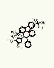 CC1=C(C)C[C]([Zr](=[C](c2ccccc2)c2ccccc2)[c]2c(C(C)(C)C)ccc3c2Cc2cc(C(C)(C)C)ccc2-3)=C1